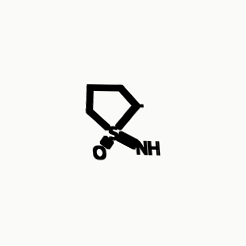 N=S1(=O)[CH]CCC1